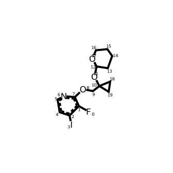 Fc1c(I)ccnc1OCC1(OC2CCCCO2)CC1